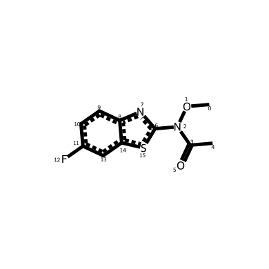 CON(C(C)=O)c1nc2ccc(F)cc2s1